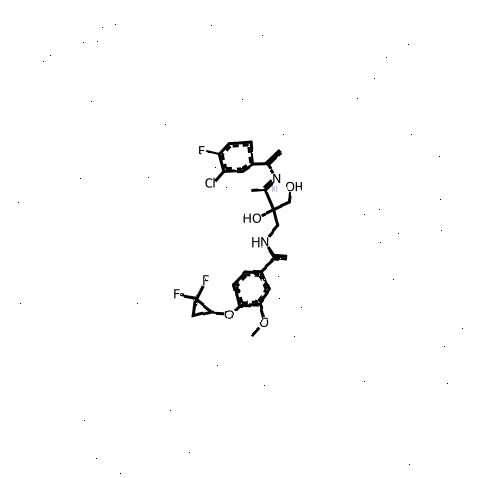 C=C(/N=C(\C)C(O)(CO)CNC(=C)c1ccc(OC2CC2(F)F)c(OC)c1)c1ccc(F)c(Cl)c1